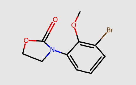 COc1c(Br)cccc1N1CCOC1=O